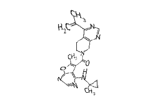 C=C(C)c1ncnc2c1CCN(C(=O)c1c(C)oc3ncnc(NC4(C)CC4)c13)C2